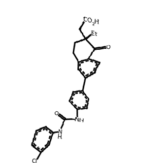 CCC1(CC(=O)O)CCc2cc(-c3ccc(NC(=O)Nc4cccc(Cl)c4)cc3)ccc2C1=O